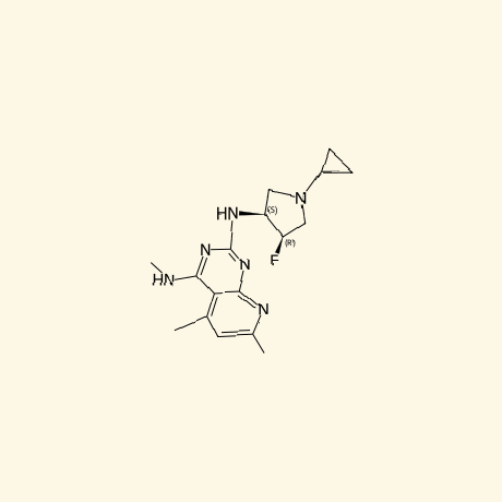 CNc1nc(N[C@H]2CN(C3CC3)C[C@H]2F)nc2nc(C)cc(C)c12